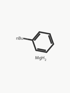 [CH2]CCCc1ccccc1.[MgH2]